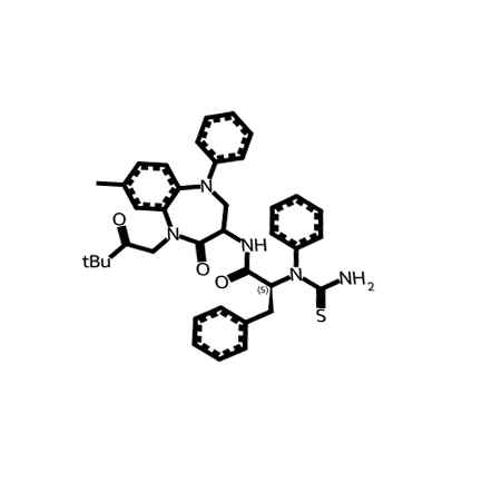 Cc1ccc2c(c1)N(CC(=O)C(C)(C)C)C(=O)C(NC(=O)[C@H](Cc1ccccc1)N(C(N)=S)c1ccccc1)CN2c1ccccc1